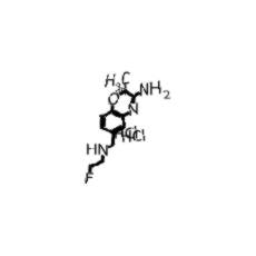 C[C@H]1Oc2ccc(CNCCF)cc2N=C1N.Cl.Cl